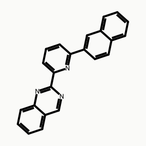 c1cc(-c2ccc3ccccc3c2)nc(-c2ncc3ccccc3n2)c1